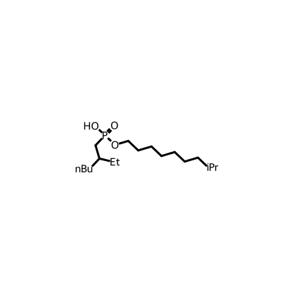 CCCCC(CC)CP(=O)(O)OCCCCCCCC(C)C